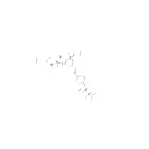 CC(=O)C(=O)Oc1ccc(C=Cc2cc(O)cc(OC(=O)C(C)=O)c2)cc1